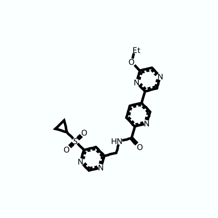 CCOc1cncc(-c2ccc(C(=O)NCc3cc(S(=O)(=O)C4CC4)ncn3)nc2)n1